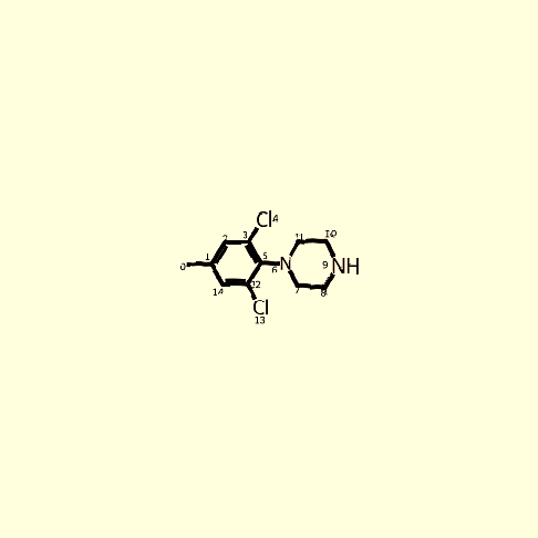 Cc1cc(Cl)c(N2CCNCC2)c(Cl)c1